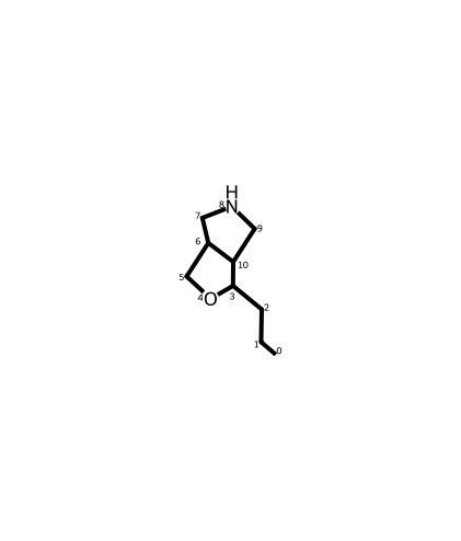 CCCC1OCC2CNCC21